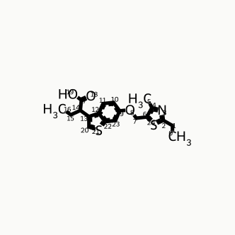 CCc1nc(C)c(COc2ccc3c(C(CC)C(=O)O)csc3c2)s1